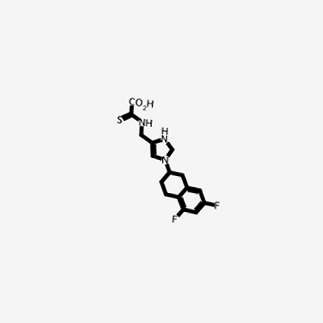 O=C(O)C(=S)NCC1=CN(C2CCc3c(F)cc(F)cc3C2)CN1